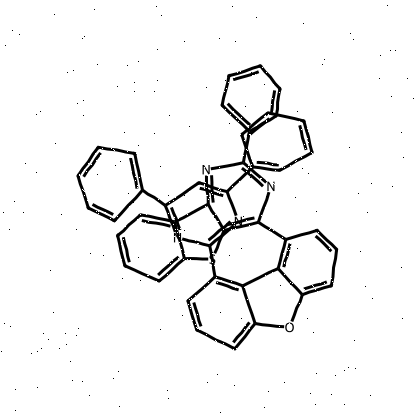 c1ccc(-c2cc(-c3ccccc3)nc(-c3cccc4oc5cccc(-c6nc(-c7ccccc7)nc7c6sc6ccccc67)c5c34)n2)cc1